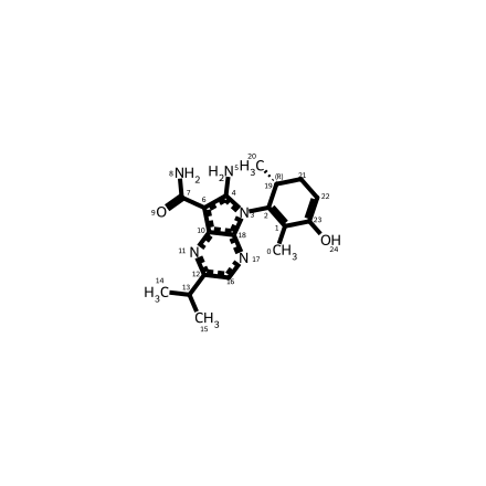 CC1=C(n2c(N)c(C(N)=O)c3nc(C(C)C)cnc32)[C@H](C)CC=C1O